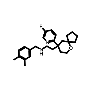 Cc1ccc(CNCCC2(c3ccc(F)cn3)CCOC3(CCCC3)C2)cc1C